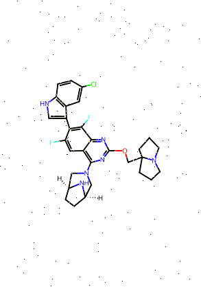 Fc1cc2c(N3C[C@H]4CC[C@@H](C3)N4)nc(OCC34CCCN3CCC4)nc2c(F)c1-c1c[nH]c2ccc(Cl)cc12